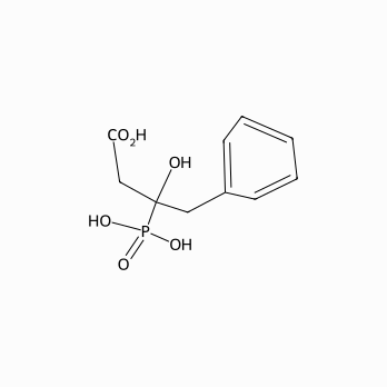 O=C(O)CC(O)(Cc1ccccc1)P(=O)(O)O